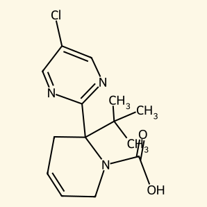 CC(C)(C)C1(c2ncc(Cl)cn2)CC=CCN1C(=O)O